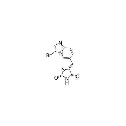 O=C1NC(=O)C(=Cc2ccc3ncc(Br)n3c2)S1